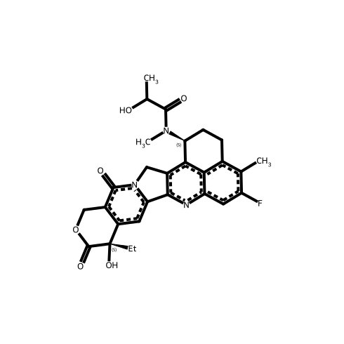 CC[C@@]1(O)C(=O)OCc2c1cc1n(c2=O)Cc2c-1nc1cc(F)c(C)c3c1c2[C@@H](N(C)C(=O)C(C)O)CC3